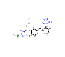 CCCCCc1nc(C(C)(F)F)nn1Cc1ccc(Cc2ccccc2-c2nnn[nH]2)cc1